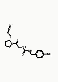 [N-]=[N+]=NC[C@H]1CCCN1C(=O)CNC(=O)NCc1ccc(N)cc1